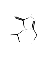 CC(C)n1c(CCl)n[nH]c1=O